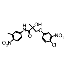 Cc1cc(NC(=O)C(C)(O)COc2ccc(Cl)c([N+](=O)[O-])c2)ccc1[N+](=O)[O-]